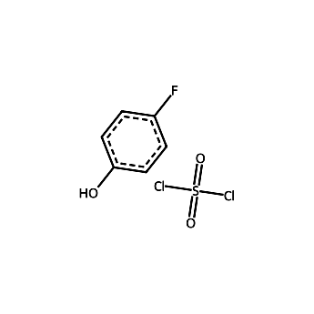 O=S(=O)(Cl)Cl.Oc1ccc(F)cc1